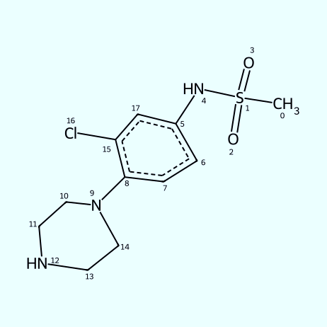 CS(=O)(=O)Nc1ccc(N2CCNCC2)c(Cl)c1